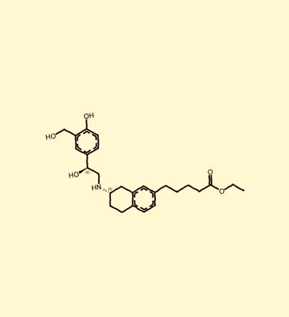 CCOC(=O)CCCCc1ccc2c(c1)C[C@@H](NC[C@@H](O)c1ccc(O)c(CO)c1)CC2